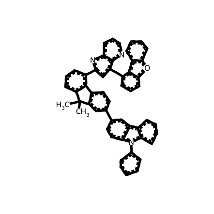 CC1(C)c2cc(-c3ccc4c(c3)c3ccccc3n4-c3ccccc3)ccc2-c2c(-c3cc(-c4cccc5oc6ccccc6c45)c4ncccc4n3)cccc21